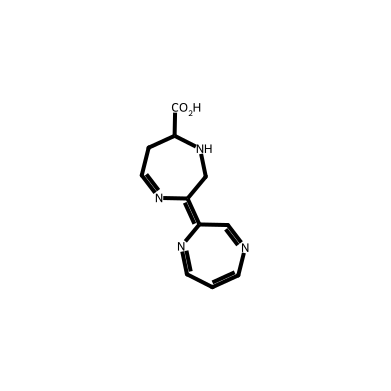 O=C(O)C1CC=NC(=C2C=NC=CC=N2)CN1